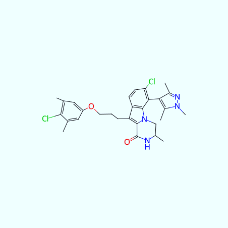 Cc1cc(OCCCc2c3n(c4c(-c5c(C)nn(C)c5C)c(Cl)ccc24)CC(C)NC3=O)cc(C)c1Cl